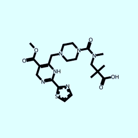 COC(=O)C1=C(CN2CCN(C(=O)N(C)CC(C)(C)C(=O)O)CC2)NC(c2nccs2)=NC1